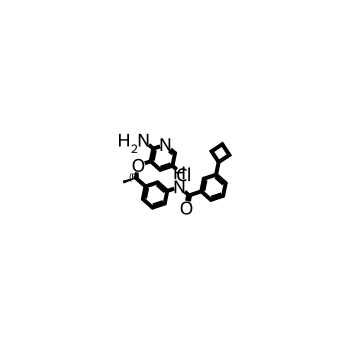 C[C@@H](Oc1cc(Cl)cnc1N)c1cccc(NC(=O)c2cccc(C3CCC3)c2)c1